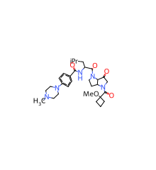 COC1(C(=O)N2CC(=O)C3C2CCN3C(=O)C(CC(C)C)NC(=O)c2ccc(N3CCN(C)CC3)cc2)CCC1